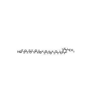 CCc1ccc(OCCOCCOCCOCCOCCOCCOCCOCCO)cc1